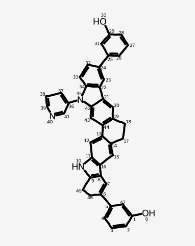 Oc1cccc(C2=Cc3c([nH]c4cc5c(cc34)CCc3cc4c6cc(-c7cccc(O)c7)ccc6n(-c6cccnc6)c4cc3-5)CC2)c1